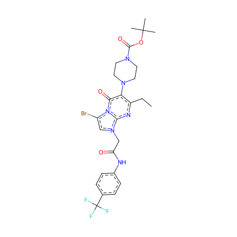 CCc1nc2n(CC(=O)Nc3ccc(C(F)(F)F)cc3)cc(Br)n2c(=O)c1N1CCN(C(=O)OC(C)(C)C)CC1